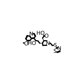 COc1ccc2nccc([C@@H](O)CC[C@@H]3CCN(CCSc4nccs4)C[C@@H]3CC(=O)O)c2c1